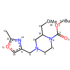 CCCCOC(=O)N1CCN(Cc2coc(C)n2)CC1COC